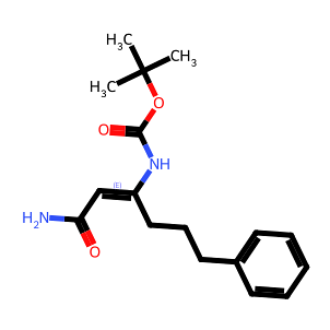 CC(C)(C)OC(=O)N/C(=C/C(N)=O)CCCc1ccccc1